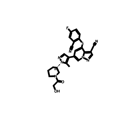 Cc1c(-c2cc(Sc3ccc(F)cc3C#N)c3c(C#N)cnn3c2)cnn1[C@H]1CCCN(C(=O)CO)C1